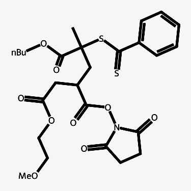 CCCCOC(=O)C(C)(CC(CC(=O)OCCOC)C(=O)ON1C(=O)CCC1=O)SC(=S)c1ccccc1